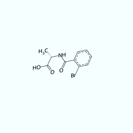 C[C@H](NC(=O)c1ccccc1Br)C(=O)O